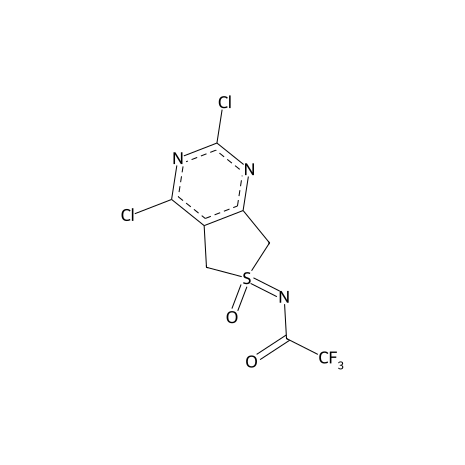 O=C(N=S1(=O)Cc2nc(Cl)nc(Cl)c2C1)C(F)(F)F